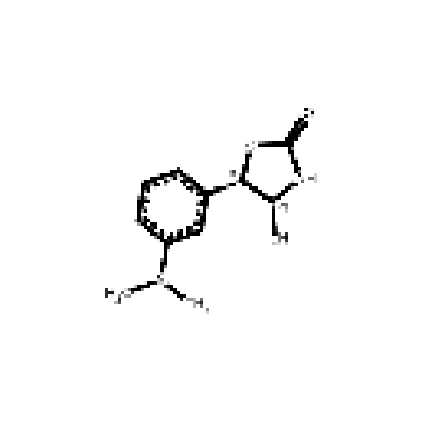 C[C@@H]1NC(=O)O[C@@H]1c1cccc(N(C)C)c1